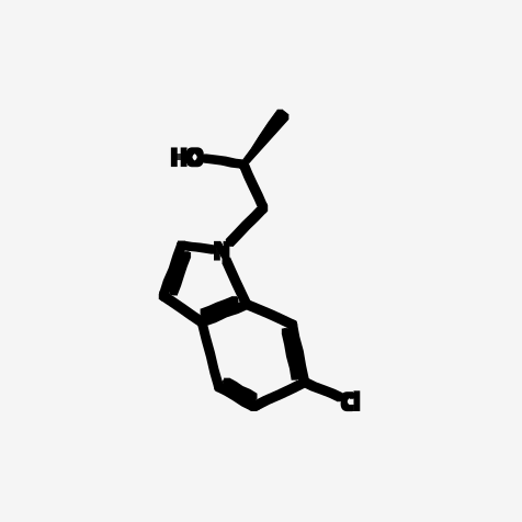 C[C@H](O)Cn1ccc2ccc(Cl)cc21